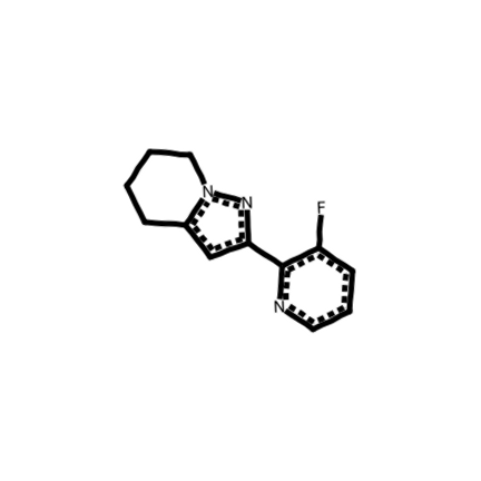 Fc1cccnc1-c1cc2n(n1)CCCC2